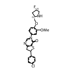 COc1cc(-n2cnc3c(c2=O)SC(c2ccc(Cl)cc2)C3)ccc1OC[C@@H]1C[C@H](F)CN1